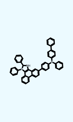 c1ccc(-c2ccc(N(c3ccccc3)c3ccc(-c4ccc5c(c4)c4c(c6ccccc65)N(c5ccccc5)C(c5ccccc5)N4)cc3)cc2)cc1